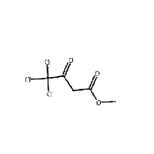 COC(=O)CC(=O)C(Cl)(Cl)Cl